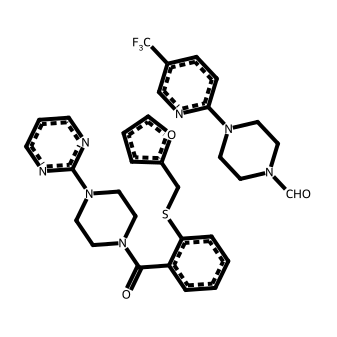 O=C(c1ccccc1SCc1ccco1)N1CCN(c2ncccn2)CC1.O=CN1CCN(c2ccc(C(F)(F)F)cn2)CC1